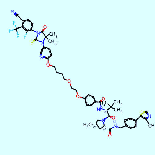 Cc1ncsc1-c1ccc(CNC(=O)[C@@H]2C[C@@H](C)CN2C(=O)[C@@H](NC(=O)c2ccc(OCCOCCCCOc3ccc(N4C(=S)N(c5ccc(C#N)c(C(F)(F)F)c5F)C(=O)C4(C)C)cn3)cc2)C(C)(C)C)cc1